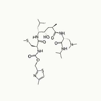 CSC[C@H](NC(=O)OCc1nc(C)cs1)C(=O)N[C@H](CC(C)C)[C@@H](O)C[C@@H](C)C(=O)N[C@H](CN(C)C)C(=O)NC(C)C